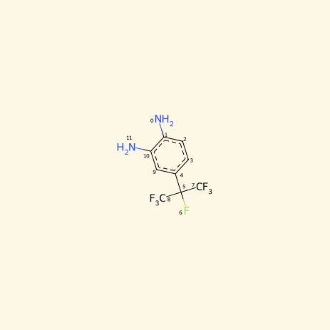 Nc1ccc(C(F)(C(F)(F)F)C(F)(F)F)cc1N